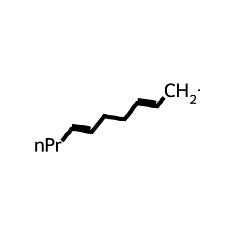 [CH2]C=CCCC=CCCC